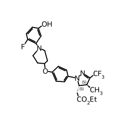 CCOC(=O)C[C@H]1[C@H](C)C(C(F)(F)F)=NN1c1ccc(OC2CCN(c3cc(O)ccc3F)CC2)cc1